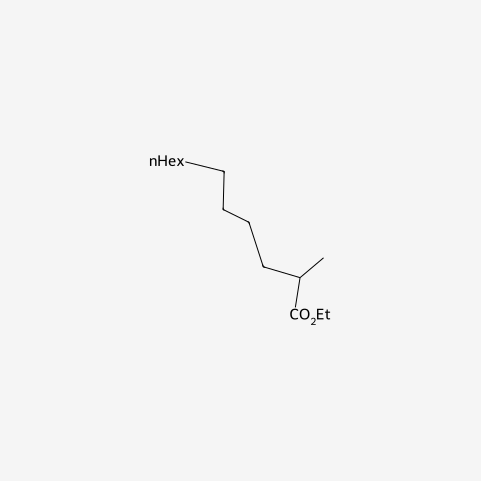 CCCCCCCCCCC(C)C(=O)OCC